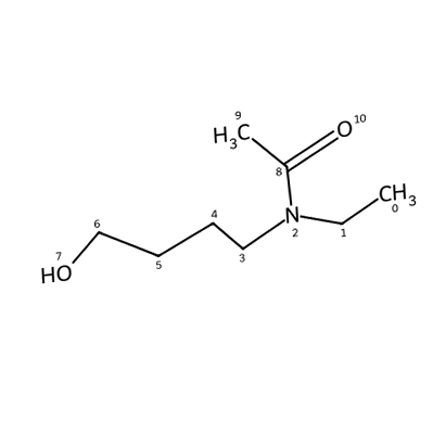 CCN(CCCCO)C(C)=O